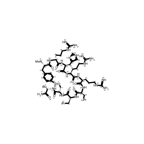 CC[C@H](C)[C@H](NC(=O)[C@H](CO)NC(=O)[C@H](CC(C)C)NC(=O)[C@H](CC(C)C)NC(=O)[C@H](CCCNC(=N)N)NC(=O)[C@H](CCCNC(=N)N)NC(=O)[C@H](Cc1c[nH]cn1)NC(=O)[C@@H](CCCNC(=N)N)NC(=O)[C@H](Cc1ccc(O)cc1)NC)C(N)=O